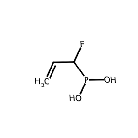 C=CC(F)P(O)O